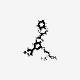 CN(C)CCOC1=CC(c2cn[nH]c2)=CC2SC(C3COc4ccccc4O3)=NC12